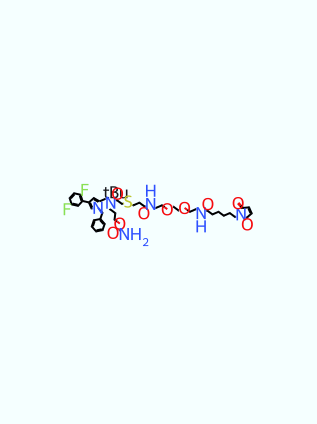 CC(C)(C)C(c1cc(-c2cc(F)ccc2F)cn1Cc1ccccc1)N(CCCOC(N)=O)C(=O)CSCCC(=O)NCCOCCOCCNC(=O)CCCCCN1C(=O)C=CC1=O